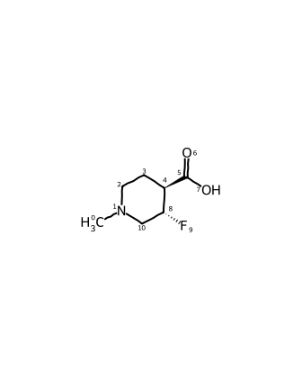 CN1CC[C@@H](C(=O)O)[C@H](F)C1